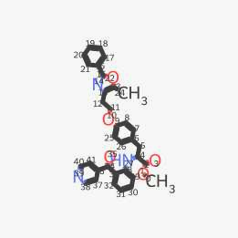 COC(=O)C(Cc1ccc(OCCc2nc(-c3ccccc3)oc2C)cc1)Nc1ccccc1C(=O)c1ccncc1